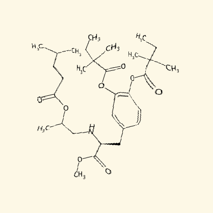 CCC(C)(C)C(=O)Oc1ccc(C[C@H](NCC(C)OC(=O)CCC(C)C)C(=O)OC)cc1OC(=O)C(C)(C)CC